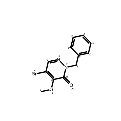 COc1c(Br)cnn(Cc2ccccc2)c1=O